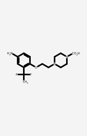 CC(F)(F)c1cc(N)ccc1OCCN1CCN(C(=O)O)CC1